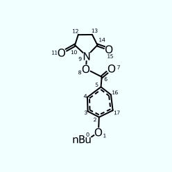 CCCCOc1ccc(C(=O)ON2C(=O)CCC2=O)cc1